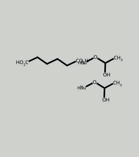 CCCCOC(C)O.CCCCOC(C)O.O=C(O)CCCCC(=O)O